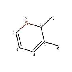 CC1=CC=CSC1C